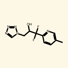 Cc1ccc(C(F)(F)C(O)Cn2cnnn2)nc1